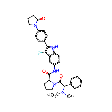 CC(C)(C)N(C(=O)O)[C@@H](C(=O)N1CCC[C@H]1C(=O)Nc1ccc2[nH]c(-c3ccc(N4CCCC4=O)cc3)c(F)c2c1)c1ccccc1